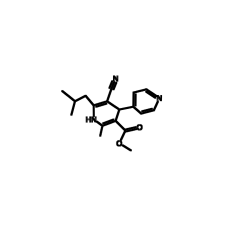 COC(=O)C1=C(C)NC(CC(C)C)=C(C#N)C1c1ccncc1